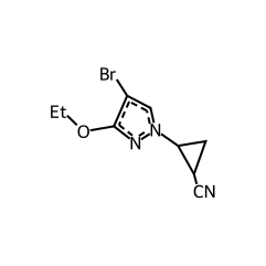 CCOc1nn(C2CC2C#N)cc1Br